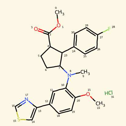 COC(=O)C1CCC(N(C)c2cc(-c3cscn3)ccc2OC)C1c1ccc(F)cc1.Cl